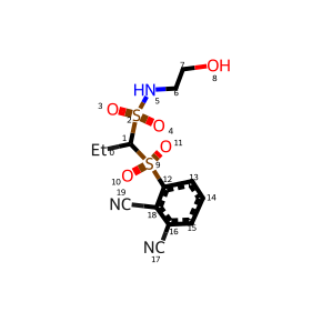 CCC(S(=O)(=O)NCCO)S(=O)(=O)c1cccc(C#N)c1C#N